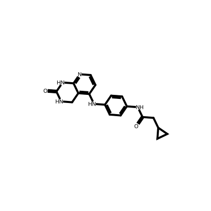 O=C(CC1CC1)Nc1ccc(Nc2ccnc3c2CNC(=O)N3)cc1